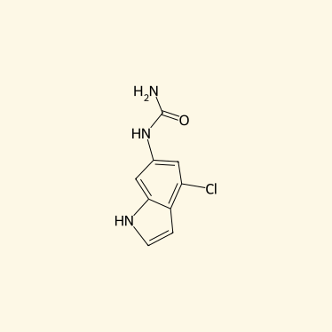 NC(=O)Nc1cc(Cl)c2cc[nH]c2c1